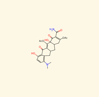 CC(=O)OC1=C(C(N)=O)C(=O)C2(O)C(OC(C)=O)=C3C(=O)c4c(O)ccc(N(C)C)c4CC3CC2C1